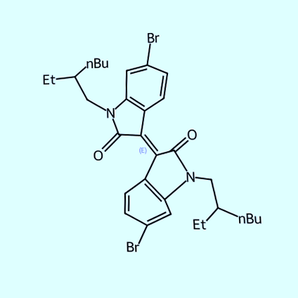 CCCCC(CC)CN1C(=O)/C(=C2/C(=O)N(CC(CC)CCCC)c3cc(Br)ccc32)c2ccc(Br)cc21